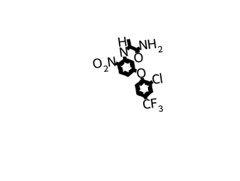 CC(Nc1cc(Oc2ccc(C(F)(F)F)cc2Cl)ccc1[N+](=O)[O-])C(N)=O